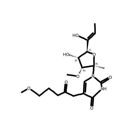 CC=C(O)[C@H]1O[C@@](C)(n2cc(CC(=O)CCCOC)c(=O)[nH]c2=O)[C@H](OC)[C@@H]1O